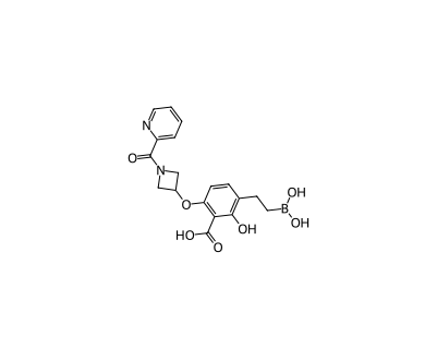 O=C(O)c1c(OC2CN(C(=O)c3ccccn3)C2)ccc(CCB(O)O)c1O